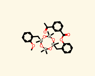 COc1ccccc1C[Si]1(C)O[Si](C)(C)O[Si](C)(Cc2ccccc2OC(=O)c2cccc(C(C)=O)c2)O[Si](C)(C)O1